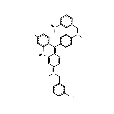 CCN(Cc1cccc(S(=O)O)c1)c1ccc(C(=C2C=CC(=[N+](CC)Cc3cccc(C)c3)C=C2)c2ccc(O)cc2[SH](=O)=O)cc1